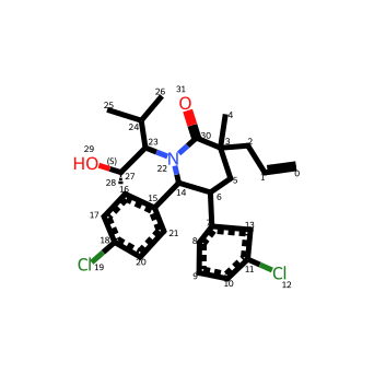 C=CCC1(C)CC(c2cccc(Cl)c2)C(c2ccc(Cl)cc2)N(C(C(C)C)[C@H](C)O)C1=O